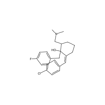 CN(C)CC1CCC/C(=C/c2ccc(Cl)cc2)C1(O)Cc1ccc(F)cc1